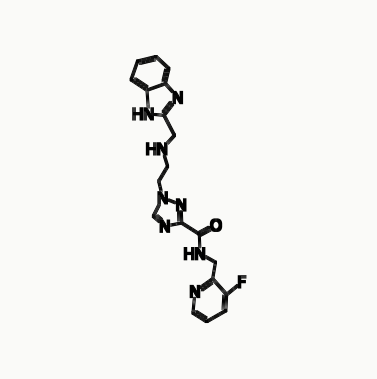 O=C(NCc1ncccc1F)c1ncn(CCNCc2nc3ccccc3[nH]2)n1